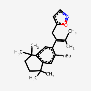 CCCCc1cc2c(cc1C(Cc1ccno1)=C(C)C)C(C)(C)CCC2(C)C